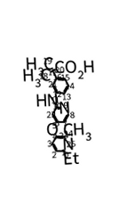 CCc1ccc(Oc2ccnc(Nc3cccc(C(C)(C)C(=O)O)c3)c2)c(C)n1